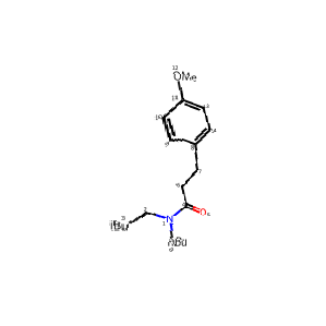 CCCCN(CC(C)CC)C(=O)CCc1ccc(OC)cc1